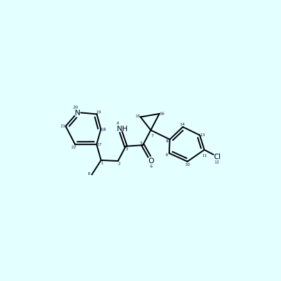 CC(CC(=N)C(=O)C1(c2ccc(Cl)cc2)CC1)c1ccncc1